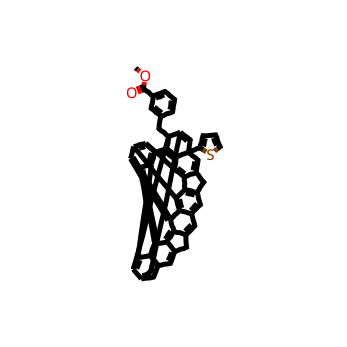 COC(=O)c1cccc(CC23C4=CC5(c6cccs6)C=C6Cc7cc8cc9c%10c%11c%12c%13c(c%14c2c5c2c6c7c5c8c%10c%13c5c2%14)C2=C3C(=CC(C=C%11C9)C2%12)C4)c1